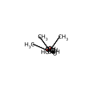 CCCCCCCCCCCCCCCC(=O)C(O)[C@H]1O[C@@H](n2ccc(=O)[nH]c2=O)[C@@](O)(C(=O)CCCCCCCCCCCCCCC)[C@@]1(O)C(=O)CCCCCCCCCCCCCCC